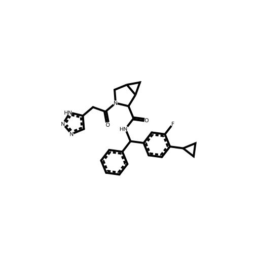 O=C(NC(c1ccccc1)c1ccc(C2CC2)c(F)c1)C1C2CC2CN1C(=O)Cc1cnn[nH]1